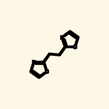 c1coc(CCc2ncco2)n1